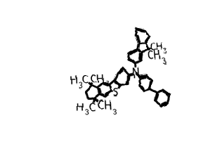 CC1(C)CCC(C)(C)c2cc3c(cc21)sc1cc(N(c2ccc(-c4ccccc4)cc2)c2ccc4c(c2)C(C)(C)c2ccccc2-4)ccc13